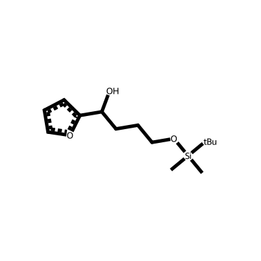 CC(C)(C)[Si](C)(C)OCCCC(O)c1ccco1